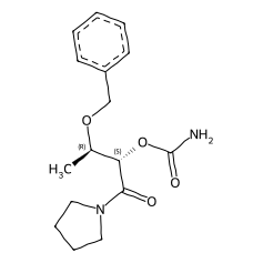 C[C@@H](OCc1ccccc1)[C@H](OC(N)=O)C(=O)N1CCCC1